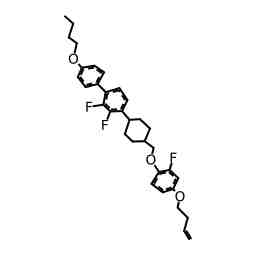 C=CCCOc1ccc(OCC2CCC(c3ccc(-c4ccc(OCCCC)cc4)c(F)c3F)CC2)c(F)c1